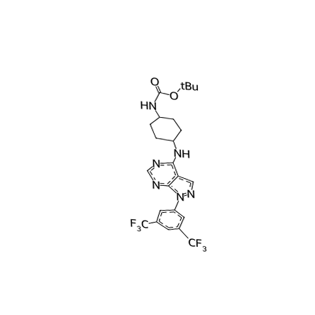 CC(C)(C)OC(=O)NC1CCC(Nc2ncnc3c2cnn3-c2cc(C(F)(F)F)cc(C(F)(F)F)c2)CC1